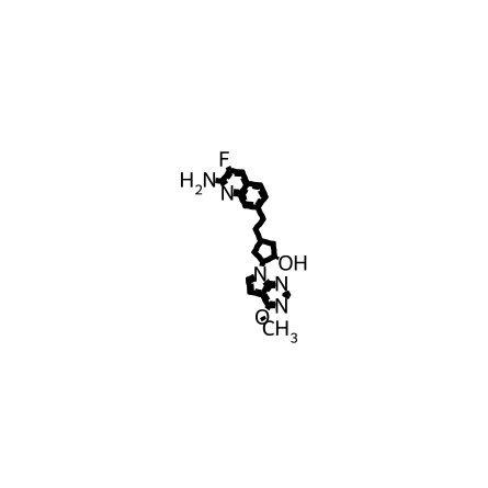 COc1ncnc2c1ccn2C1CC(CCc2ccc3cc(F)c(N)nc3c2)C[C@H]1O